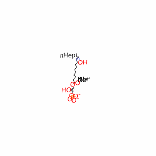 CCCCCCC/C=C/C(O)CCCCCCCC(=O)OC[C@H](O)COP(=O)([O-])[O-].[Na+].[Na+]